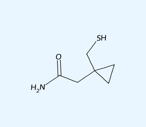 NC(=O)CC1(CS)CC1